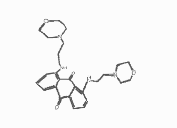 O=C1c2cccc(NCCN3CCOCC3)c2C(=O)c2c(NCCN3CCOCC3)cccc21